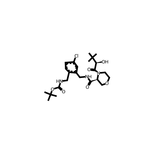 CC(C)(C)OC(=O)NCc1ccc(Cl)cc1CNC(=O)[C@@H]1COCCN1C(=O)[C@H](O)C(C)(C)C